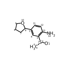 C[S+]([O-])c1cc(C2CCCO2)ccc1N